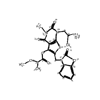 CON(C)C(=O)Oc1c(Cn2c(=O)oc3ccccc32)sc2c1c(=O)n(C)c(=O)n2CC(C)C